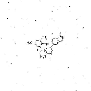 Cc1cc(C)c(Nc2nc(N)ncc2-c2ccc3[nH]ncc3c2)c(C)c1